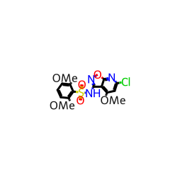 COc1cccc(OC)c1S(=O)(=O)Nc1noc2nc(Cl)cc(OC)c12